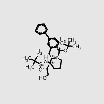 CC(C)(C)OC(=O)N1CCC[C@](CCO)(N[S@+]([O-])C(C)(C)C)[C@H]1Cc1cccc(-c2ccccc2)c1